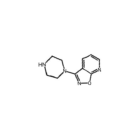 c1cnc2onc(N3CCNCC3)c2c1